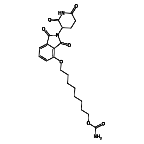 NC(=O)OCCCCCCCCOc1cccc2c1C(=O)N(C1CCC(=O)NC1=O)C2=O